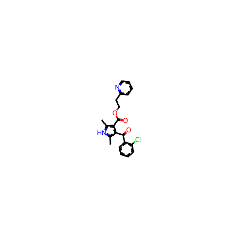 Cc1[nH]c(C)c(C(=O)c2ccccc2Cl)c1C(=O)OCCc1ccccn1